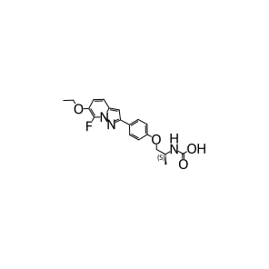 CCOc1ccc2cc(-c3ccc(OC[C@H](C)NC(=O)O)cc3)nn2c1F